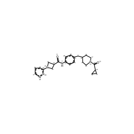 O=C(Nc1ccc(CC2CCN(C(=O)C3CC3)CC2)cc1)C1CN(c2cccnn2)C1